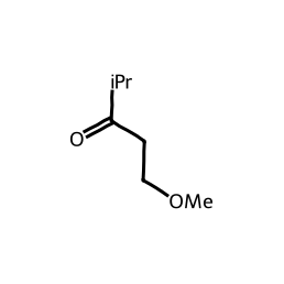 [CH2]OCCC(=O)C(C)C